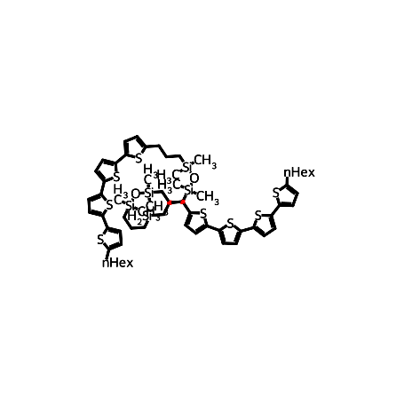 CCCCCCc1ccc(-c2ccc(-c3ccc(-c4ccc(CCC[Si](C)(C)O[Si](C)(C)CCC[SiH2]CCC[Si](C)(C)O[Si](C)(C)CCCc5ccc(-c6ccc(-c7ccc(-c8ccc(CCCCCC)s8)s7)s6)s5)s4)s3)s2)s1